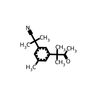 CC(=O)C(C)(C)c1cc(C)cc(C(C)(C)C#N)c1